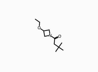 CCOC1CN(C(=O)CC(C)(C)C)C1